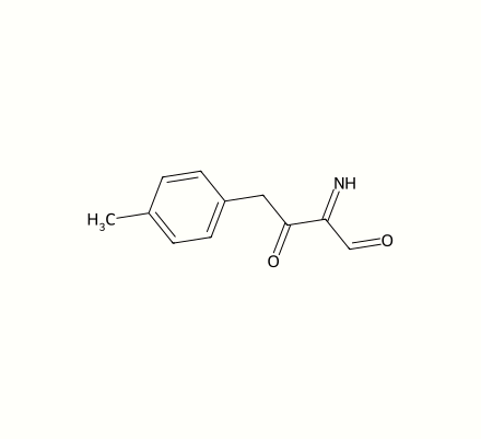 Cc1ccc(CC(=O)C(=N)C=O)cc1